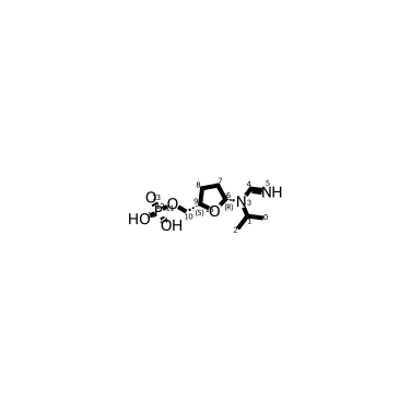 CC(C)N(C=N)[C@H]1CC[C@@H](COP(=O)(O)O)O1